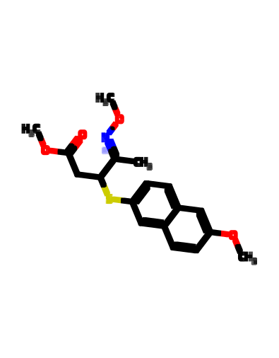 CO/N=C(\C)C(CC(=O)OC)Sc1ccc2cc(OC)ccc2c1